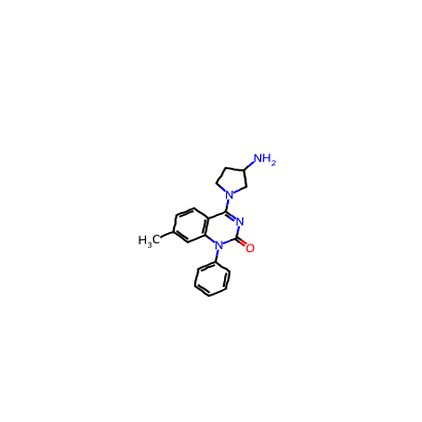 Cc1ccc2c(N3CCC(N)C3)nc(=O)n(-c3ccccc3)c2c1